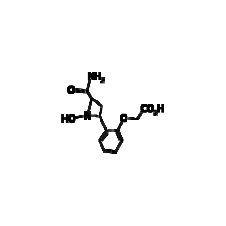 NC(=O)C1CC(c2ccccc2OCC(=O)O)N1O